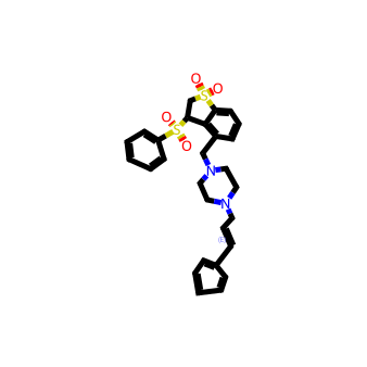 O=S1(=O)CC(S(=O)(=O)c2ccccc2)c2c(CN3CCN(C/C=C/c4ccccc4)CC3)cccc21